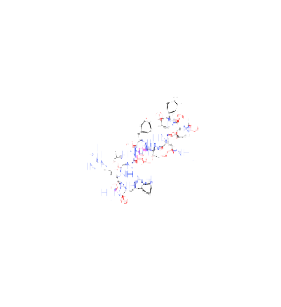 CNC(=N)NCCC[C@H](NC(=O)[C@H](CC(C)C)NC(=O)NNC(=O)[C@H](Cc1ccccc1)NC(=O)[C@@H](NC(=O)[C@H](CC(N)=O)NC(=O)[C@@H]1C[C@@H](O)C(c2ccccc2)N1C(=O)[C@@H]1CCCN1C(C)=O)[C@@H](C)O)C(=O)N[C@@H](Cc1c[nH]c2ccccc12)C(N)=O